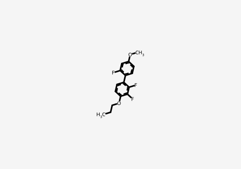 CCCOc1ccc(-c2ccc(OC)cc2F)c(F)c1F